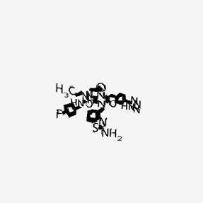 CCCN(C(=O)NCC1=CCC(F)C=C1)N1CC(=O)N2[C@@H](Cc3ccc(-c4nnn[nH]4)cc3)C(=O)N(Cc3cccc4sc(N)nc34)C[C@@H]21